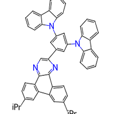 CC(C)c1ccc2c(c1)c1cc(C(C)C)ccc1c1nc(-c3cc(-n4c5ccccc5c5ccccc54)cc(-n4c5ccccc5c5ccccc54)c3)cnc21